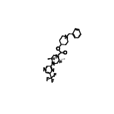 C[C@@H]1CN(c2cncc(C(F)(F)F)n2)[C@@H](C)CN1C(=O)OC1CCN(Cc2ccccc2)CC1